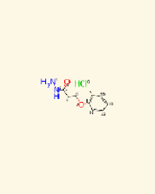 Cl.NNC(=O)CCOc1ccccc1